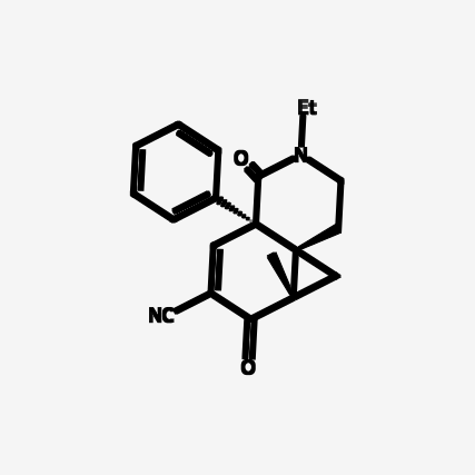 CCN1CC[C@@]23C[C@]2(C)C(=O)C(C#N)=C[C@@]3(c2ccccc2)C1=O